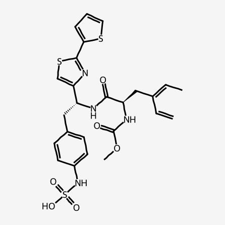 C=C/C(=C\C)C[C@@H](NC(=O)OC)C(=O)N[C@H](Cc1ccc(NS(=O)(=O)O)cc1)c1csc(-c2cccs2)n1